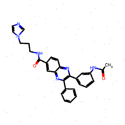 CC(=O)Nc1cccc(-c2nc3ccc(C(=O)NCCCn4ccnc4)cc3nc2-c2ccccc2)c1